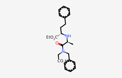 CCOC(=O)[C@H](CCc1ccccc1)N[C@@H](C)C(=O)N(CC(=O)O)Cc1ccccc1